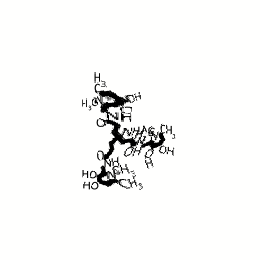 CC(=O)NC(CCC(=O)NCc1c(O)c(O)cc(C)[n+]1C)(CCC(=O)NCc1c(O)c(O)cc(C)[n+]1C)CCC(=O)NCc1c(O)c(O)cc(C)[n+]1C